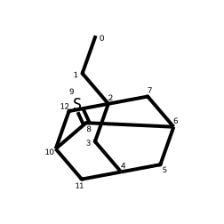 CCC12CC3CC(C1)C(=S)C(C3)C2